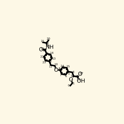 CCOC(Cc1ccc(OCCc2ccc(C(=O)NC(C)C)cc2)cc1)C(=O)O